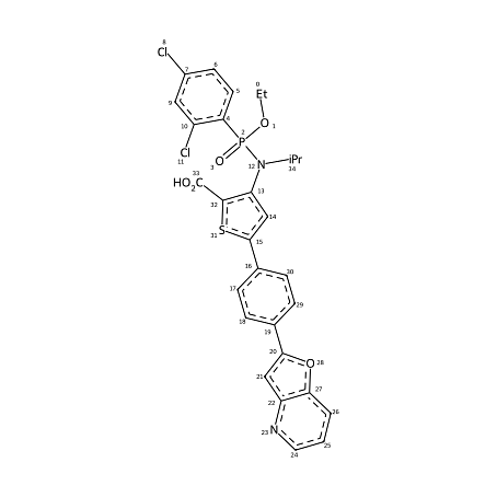 CCOP(=O)(c1ccc(Cl)cc1Cl)N(c1cc(-c2ccc(-c3cc4ncccc4o3)cc2)sc1C(=O)O)C(C)C